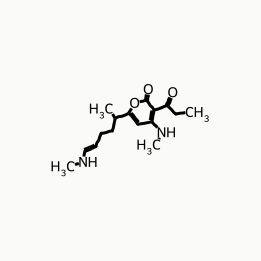 CCC(=O)c1c(NC)cc(C(C)CC/C=C/NC)oc1=O